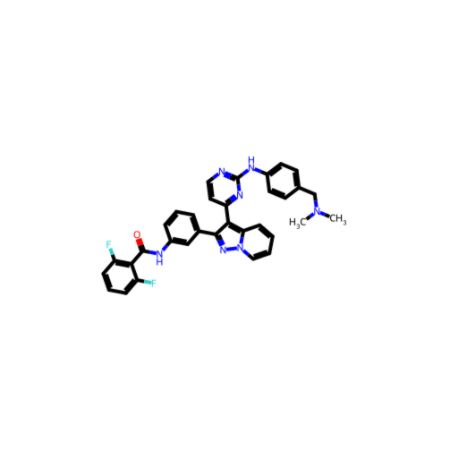 CN(C)Cc1ccc(Nc2nccc(-c3c(-c4cccc(NC(=O)c5c(F)cccc5F)c4)nn4ccccc34)n2)cc1